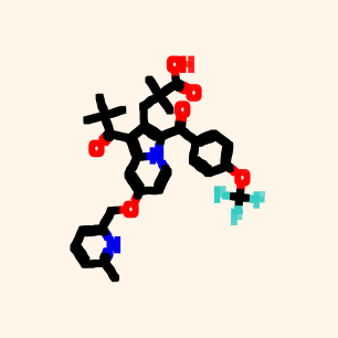 Cc1cccc(COc2ccn3c(C(=O)c4ccc(OC(F)(F)F)cc4)c(CC(C)(C)C(=O)O)c(C(=O)C(C)(C)C)c3c2)n1